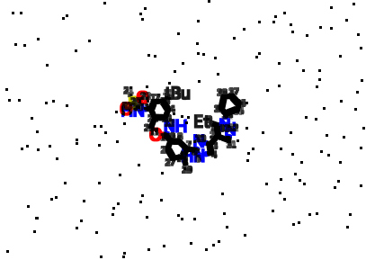 CCc1c(-c2c[nH]c(-c3cc(C(=O)Nc4cc(C(C)(C)C)cc(NS(C)(=O)=O)c4C)ccc3C)n2)cnn1-c1ccccc1